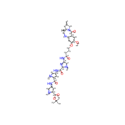 C=C1C[C@H]2C=Nc3cc(OCCCC(=O)Nc4cn(C)c(C(=O)Nc5cc(C(=O)Nc6cc(C(=O)OC(C)(C)C)n(C)c6)n(C)c5)n4)c(OC)cc3C(=O)N2C1